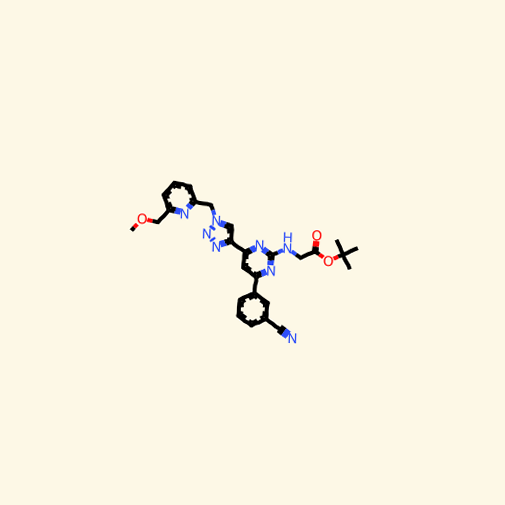 COCc1cccc(Cn2cc(-c3cc(-c4cccc(C#N)c4)nc(NCC(=O)OC(C)(C)C)n3)nn2)n1